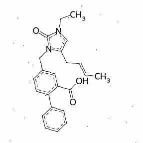 CC=CCc1cn(CC)c(=O)n1Cc1ccc(-c2ccccc2)c(C(=O)O)c1